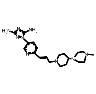 CN1CCN(C2CCN(CC=Cc3ccc(-n4nc(N)nc4N)cn3)CC2)CC1